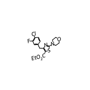 CCOC(=O)c1sc(N2CCOCC2)nc1Cc1ccc(Cl)c(F)c1